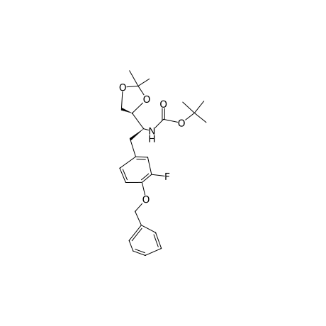 CC(C)(C)OC(=O)N[C@@H](Cc1ccc(OCc2ccccc2)c(F)c1)[C@H]1COC(C)(C)O1